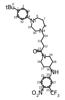 CC(C)(C)c1ccc(N2CCCN(CCCC(=O)N3CCC(Nc4ccc([N+](=O)[O-])c(C(F)(F)F)c4)CC3)CC2)cc1